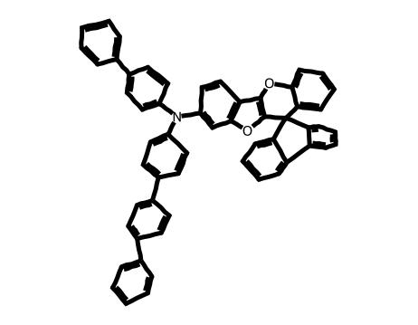 c1ccc(-c2ccc(-c3ccc(N(c4ccc(-c5ccccc5)cc4)c4ccc5c6c(oc5c4)C4(c5ccccc5O6)c5ccccc5-c5ccccc54)cc3)cc2)cc1